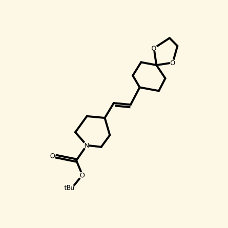 CC(C)(C)OC(=O)N1CCC(C=CC2CCC3(CC2)OCCO3)CC1